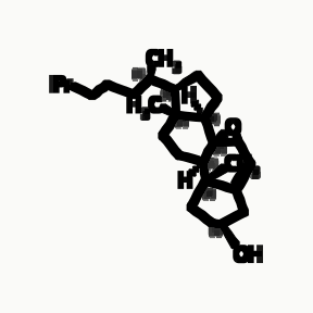 CC(C)CCC[C@@H](C)[C@H]1CC[C@@H]2[C@]1(C)CC[C@H]1[C@]23OC3C=C2C[C@@H](O)CC[C@@]21C